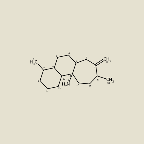 C=C1CC2CCC3C(C)CCCC3C2(N)CCC1C